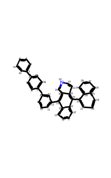 c1ccc(-c2ccc(-c3cccc(-c4c5ccccc5c(-c5cccc6ccccc56)c5ccncc45)c3)cc2)cc1